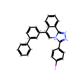 Ic1ccc(-c2nnc3c4ccccc4c(-c4cccc(-c5ccccc5)c4)cn23)cc1